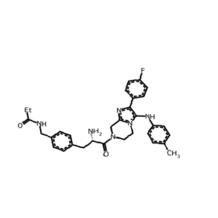 CCC(=O)NCc1ccc(C[C@H](N)C(=O)N2CCn3c(nc(-c4ccc(F)cc4)c3Nc3ccc(C)cc3)C2)cc1